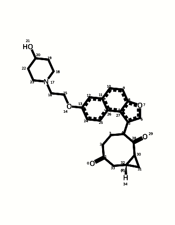 O=C1CCC(c2coc3ccc4cc(OCCN5CCC(O)CC5)ccc4c23)C(=O)C2C[C@@H]2C1